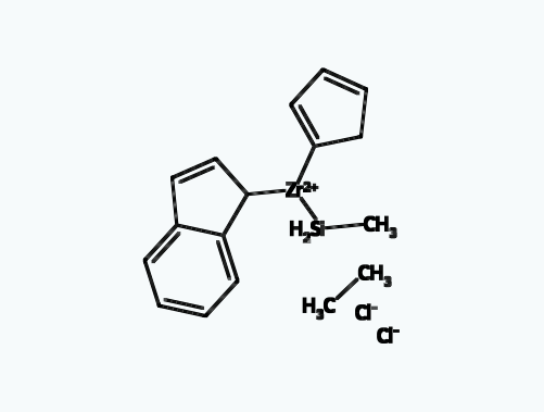 CC.C[SiH2][Zr+2]([C]1=CC=CC1)[CH]1C=Cc2ccccc21.[Cl-].[Cl-]